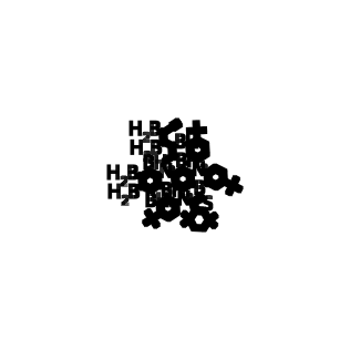 B/C(C#C)=C(B)/C(B)=C(/B)CN(c1cc2c3c(c1)N(c1ccc(C(C)(C)C)cc1)c1c(sc4c1C(C)(C)CCC4(C)C)B3c1cc(C(C)(C)C)ccc1N2c1ccc(C(C)(C)C)cc1)c1c(B)c(B)c(B)c(B)c1B